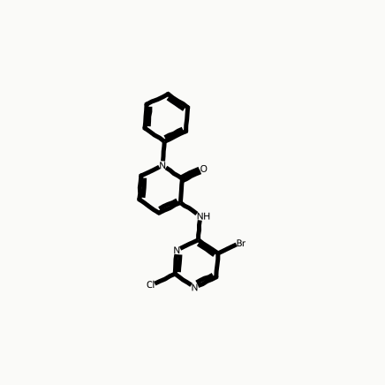 O=c1c(Nc2nc(Cl)ncc2Br)cccn1-c1ccccc1